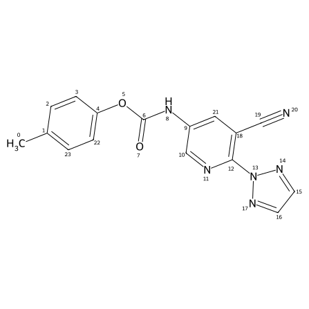 Cc1ccc(OC(=O)Nc2cnc(-n3nccn3)c(C#N)c2)cc1